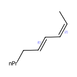 C/C=C\C=C\CCCC